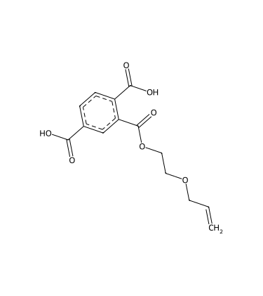 C=CCOCCOC(=O)c1cc(C(=O)O)ccc1C(=O)O